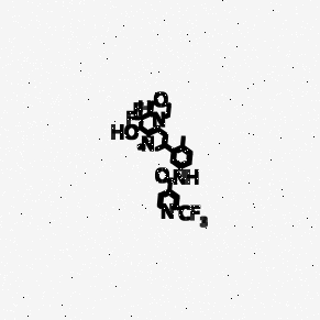 C=NC1=C(/C=C(\C)c2cc(NC(=O)c3ccnc(C(F)(F)F)c3)ccc2C)N2CCOC[C@@H]2C(F)(F)[C@@H]1O